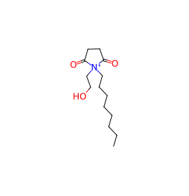 CCCCCCCC[N+]1(CCO)C(=O)CCC1=O